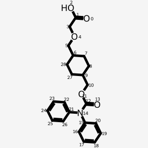 O=C(O)COCC1CCC(COC(=O)N(c2ccccc2)c2ccccc2)CC1